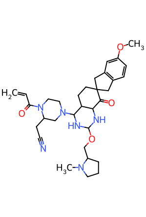 C=CC(=O)N1CCN(C2NC(OCC3CCCN3C)NC3C(=O)C4(CCC32)Cc2ccc(OC)cc2C4)CC1CC#N